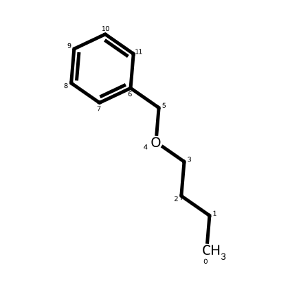 CC[CH]COCc1ccccc1